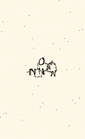 CN1CCN2c3ncccc3OCC12